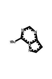 CC(C)(C)c1ncnc2ccnn12